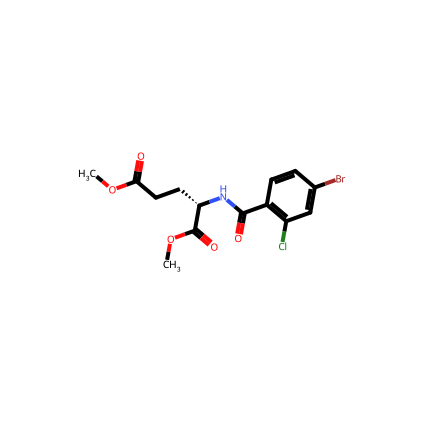 COC(=O)CC[C@H](NC(=O)c1ccc(Br)cc1Cl)C(=O)OC